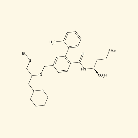 CCSCC(CC1CCCCC1)OCc1ccc(C(=O)N[C@@H](CCSC)C(=O)O)c(-c2ccccc2C)c1